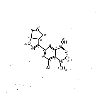 CN(C)c1c(Cl)cc(C2=NOC3COCC23)cc1C(=O)O